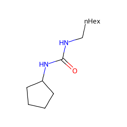 CCCCCCCNC(=O)NC1CCCC1